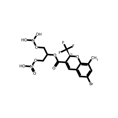 Cc1cc(Br)cc2c1O[C@H](C(F)(F)F)C(C(=O)OC(CON(O)O)CO[N+](=O)O)=C2